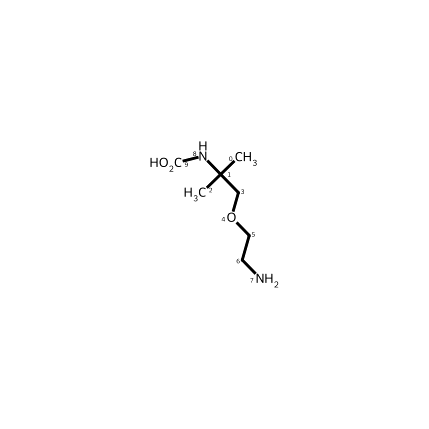 CC(C)(COCCN)NC(=O)O